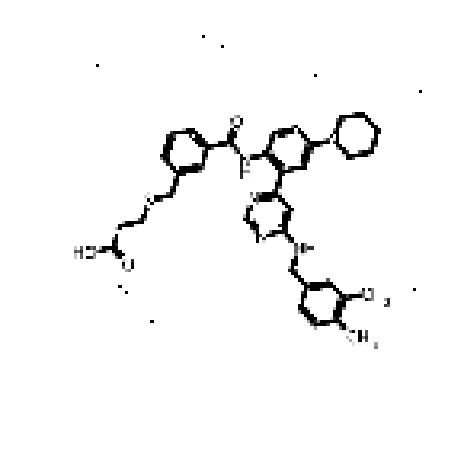 Cc1ccc(CNc2cc(-c3cc(N4CCCCC4)ccc3NC(=O)c3cccc(CSCCC(=O)O)c3)ncn2)cc1C